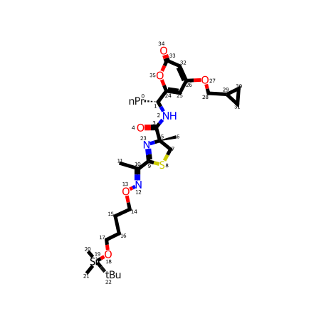 CCC[C@@H](NC(=O)[C@]1(C)CSC(/C(C)=N/OCCCCO[Si](C)(C)C(C)(C)C)=N1)c1cc(OCC2CC2)cc(=O)o1